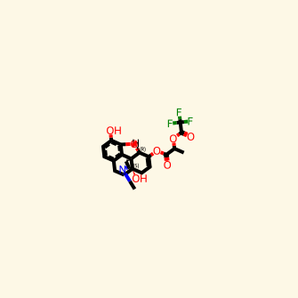 CC(OC(=O)C(F)(F)F)C(=O)OC1=CC[C@@]2(O)C3Cc4ccc(O)c5c4[C@@]2(CCN3C)[C@H]1O5